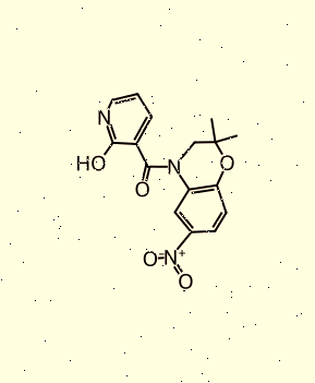 CC1(C)CN(C(=O)c2cccnc2O)c2cc([N+](=O)[O-])ccc2O1